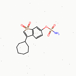 NS(=O)(=O)Oc1ccc2c(c1)S(=O)(=O)C=C2C1CCCCCC1